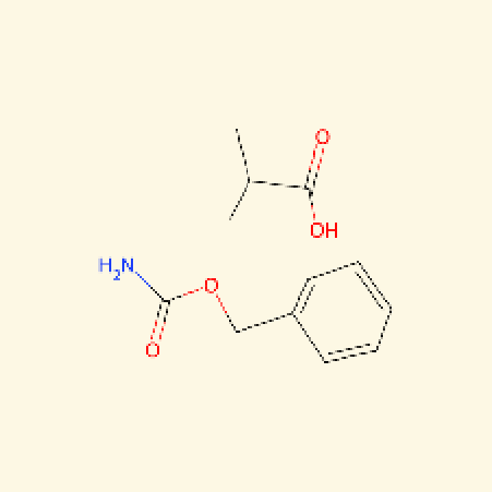 CC(C)C(=O)O.NC(=O)OCc1ccccc1